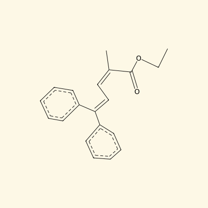 CCOC(=O)C(C)=CC=C(c1ccccc1)c1ccccc1